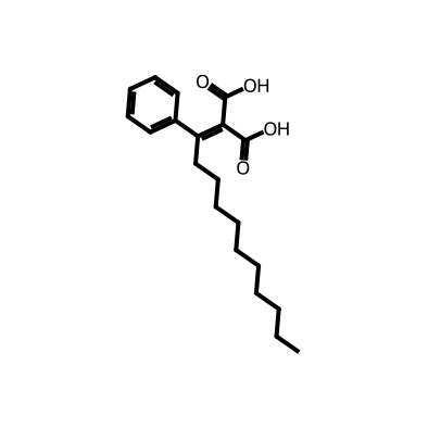 CCCCCCCCCCC(=C(C(=O)O)C(=O)O)c1ccccc1